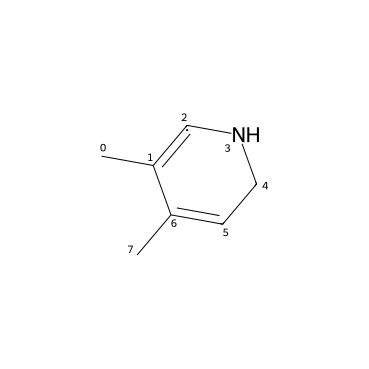 CC1=[C]NCC=C1C